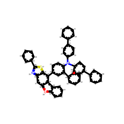 c1ccc(-c2ccc(N(c3ccc(-c4ccccc4)cc3)c3ccc(-c4c5sc(-c6ccccc6)nc5cc5oc6ccccc6c45)cc3-c3ccccc3)cc2)cc1